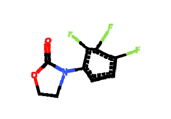 O=C1OCCN1c1ccc(F)c(F)c1F